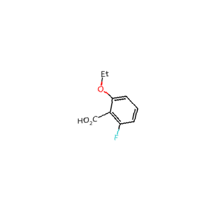 CCOc1cccc(F)c1C(=O)O